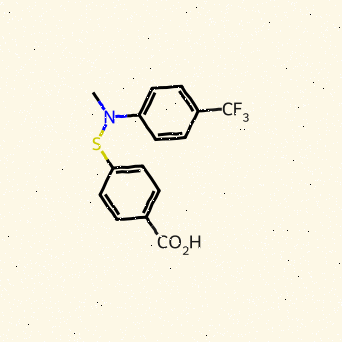 CN(Sc1ccc(C(=O)O)cc1)c1ccc(C(F)(F)F)cc1